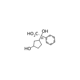 O=C(O)[C@](O)(c1ccccc1)C1CCC(O)C1